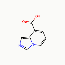 O=C(O)c1cccn2cncc12